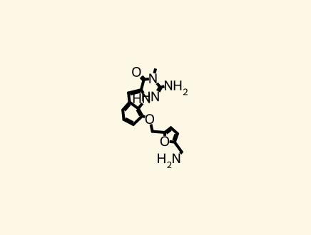 CN(C(=N)N)C(=O)c1cc2cccc(OCc3ccc(CN)o3)c2[nH]1